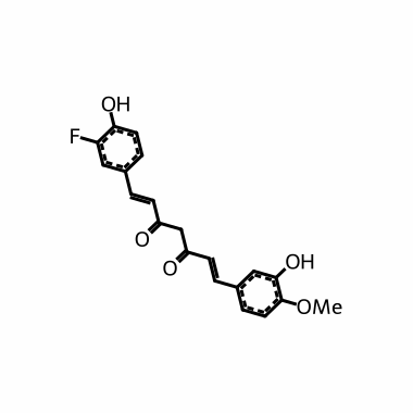 COc1ccc(C=CC(=O)CC(=O)C=Cc2ccc(O)c(F)c2)cc1O